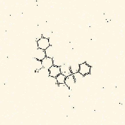 CC(C)(C)OC(=O)N(Cc1ccc2[nH]c(I)c(S(=O)(=O)c3ccccc3)c2c1)C1CCOCC1